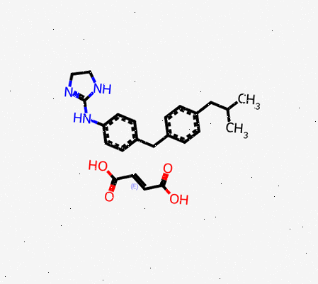 CC(C)Cc1ccc(Cc2ccc(NC3=NCCN3)cc2)cc1.O=C(O)/C=C/C(=O)O